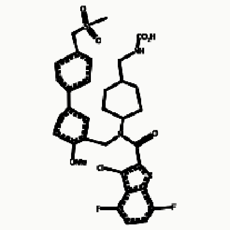 COc1ccc(-c2ccc(CS(C)(=O)=O)cc2)cc1CN(C(=O)c1sc2c(F)ccc(F)c2c1Cl)C1CCC(CNC(=O)O)CC1